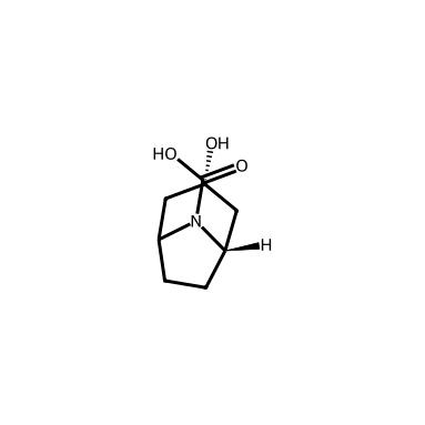 O=C(O)N1C2CC[C@H]1C[C@@H](O)C2